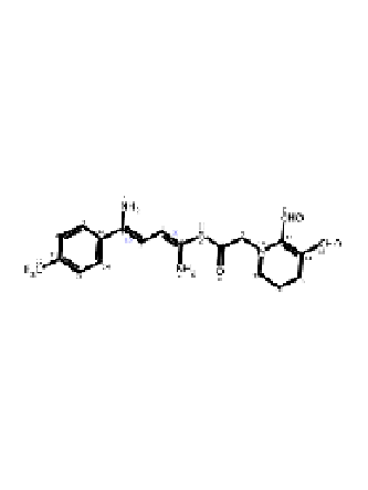 N/C(=C\C=C(/N)NC(=O)CN1CCCC(C=O)=C1C=O)c1ccc(C(F)(F)F)cc1